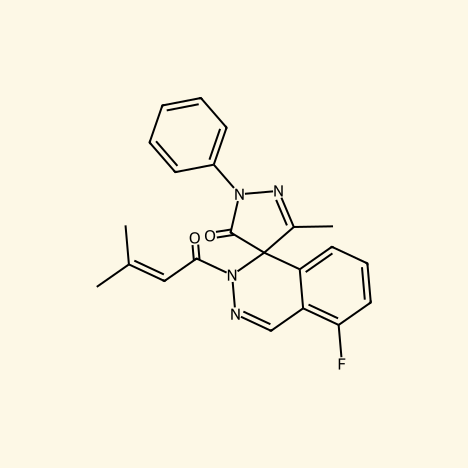 CC(C)=CC(=O)N1N=Cc2c(F)cccc2C12C(=O)N(c1ccccc1)N=C2C